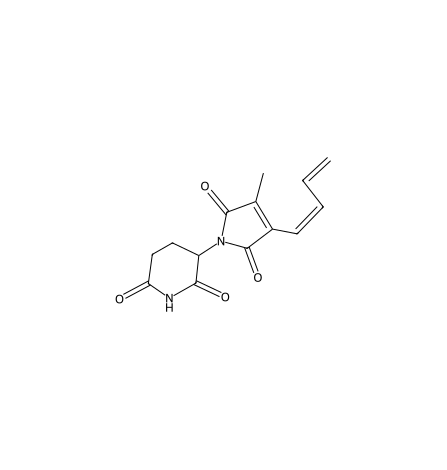 C=C/C=C\C1=C(C)C(=O)N(C2CCC(=O)NC2=O)C1=O